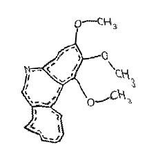 COc1cc2ncc3ccccc3c2c(OC)c1OC